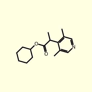 Cc1cncc(C)c1C(C)C(=O)OC1CCCCC1